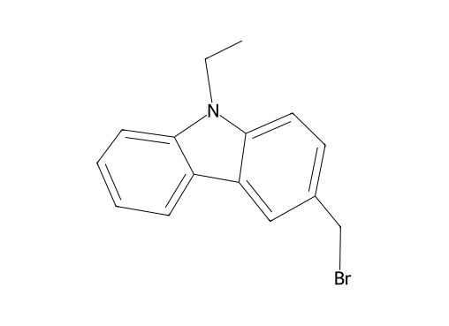 CCn1c2ccccc2c2cc(CBr)ccc21